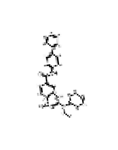 CC[C@H](C(=O)Nc1cc(C(=O)Nc2ccc(-c3ccccc3)cc2)ccc1OC)N1CCOCC1